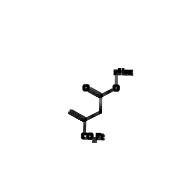 C=C(CC(=O)OCCCCCC)C(=O)OCC